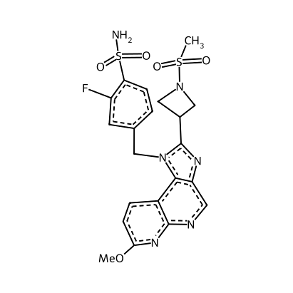 COc1ccc2c(ncc3nc(C4CN(S(C)(=O)=O)C4)n(Cc4ccc(S(N)(=O)=O)c(F)c4)c32)n1